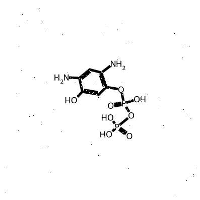 Nc1cc(N)c(OP(=O)(O)OP(=O)(O)O)cc1O